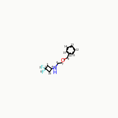 FC1(F)CC(NCCOCc2ccccc2)C1